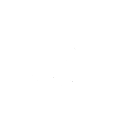 Nc1ncc(C2CCS(=O)(=O)CC2)cc1-c1ccc2c(c1)OCCN(Cc1ccccc1)C2=O